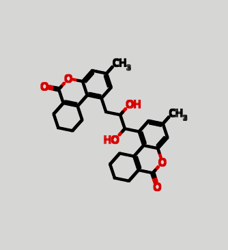 Cc1cc(CC(O)C(O)c2cc(C)cc3oc(=O)c4c(c23)CCCC4)c2c3c(c(=O)oc2c1)CCCC3